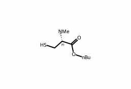 CCCCOC(=O)[C@H](CS)NC